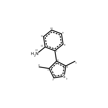 Cc1csc(C)c1-c1ccccc1N